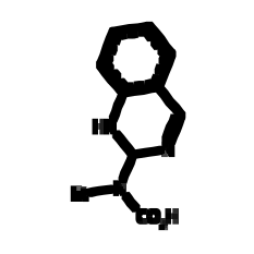 CCN(C(=O)O)C1N=Cc2ccccc2N1